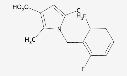 Cc1cc(C(=O)O)c(C)n1Cc1c(F)cccc1F